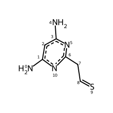 Nc1cc(N)nc(CC=S)n1